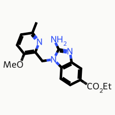 CCOC(=O)c1ccc2c(c1)nc(N)n2Cc1nc(C)ccc1OC